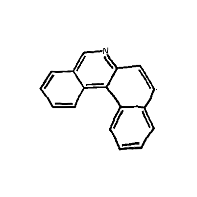 [c]1cc2ncc3ccccc3c2c2ccccc12